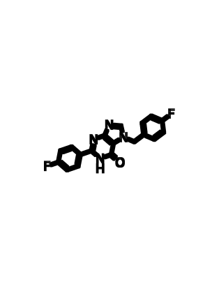 O=c1[nH]c(-c2ccc(F)cc2)nc2ncn(Cc3ccc(F)cc3)c12